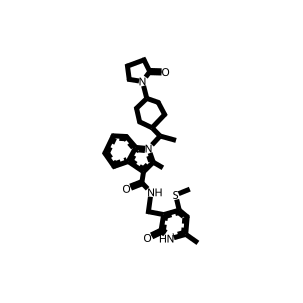 CSc1cc(C)[nH]c(=O)c1CNC(=O)c1c(C)n(C(C)C2CCC(N3CCCC3=O)CC2)c2ccccc12